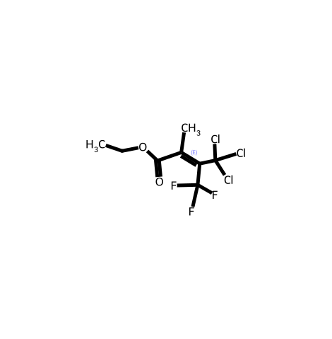 CCOC(=O)/C(C)=C(\C(F)(F)F)C(Cl)(Cl)Cl